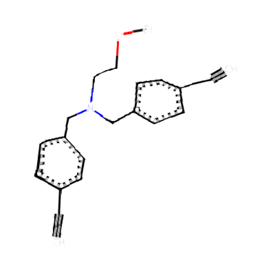 C#Cc1ccc(CN(CCOCC)Cc2ccc(C#C)cc2)cc1